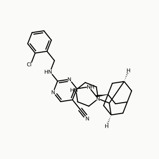 N#Cc1cnc(NCc2ccccc2Cl)nc1NC[C@]12CC3C[C@H](C1)C(N1CCNCC1)[C@@H](C3)C2